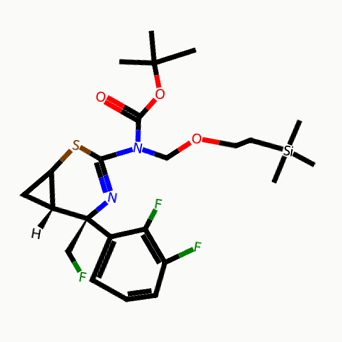 CC(C)(C)OC(=O)N(COCC[Si](C)(C)C)C1=N[C@](CF)(c2cccc(F)c2F)[C@@H]2CC2S1